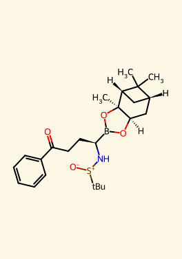 CC1(C)[C@@H]2C[C@H]3OB([C@H](CCC(=O)c4ccccc4)N[S+]([O-])C(C)(C)C)O[C@@]3(C)[C@H]1C2